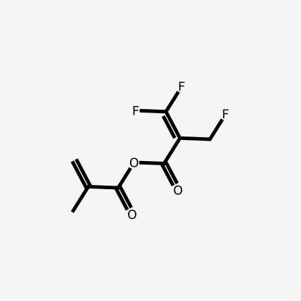 C=C(C)C(=O)OC(=O)C(CF)=C(F)F